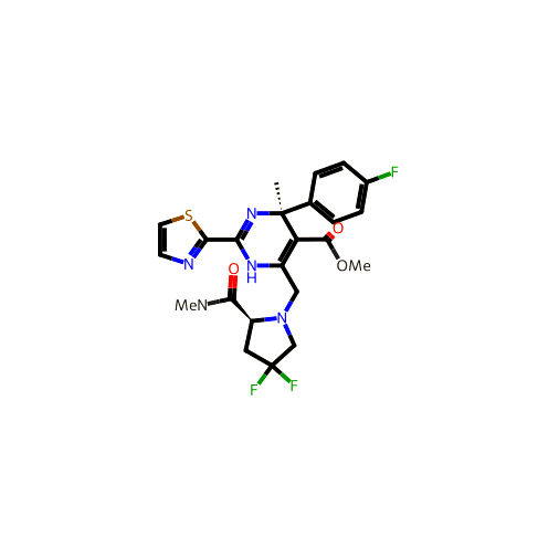 CNC(=O)[C@@H]1CC(F)(F)CN1CC1=C(C(=O)OC)[C@](C)(c2ccc(F)cc2)N=C(c2nccs2)N1